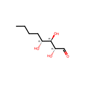 CCCC[C@@H](O)[C@@H](O)[C@@H](O)C=O